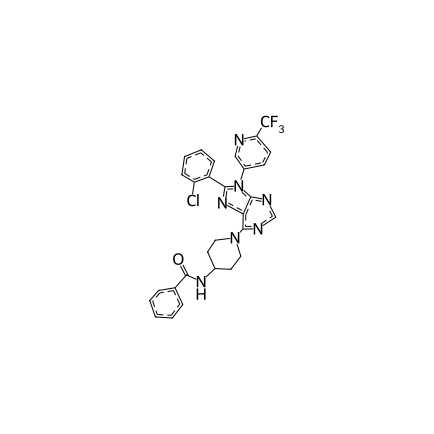 O=C(NC1CCN(c2ncnc3c2nc(-c2ccccc2Cl)n3-c2ccc(C(F)(F)F)nc2)CC1)c1ccccc1